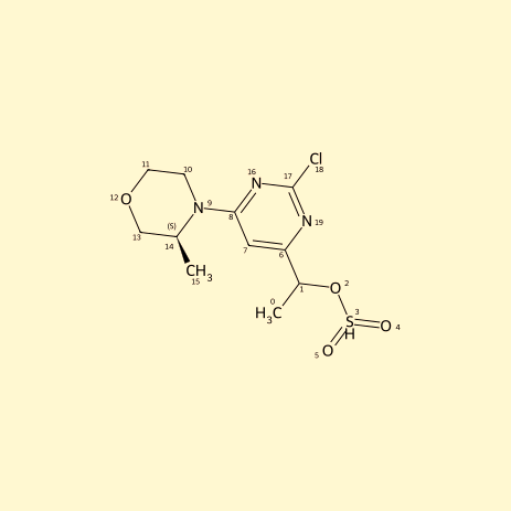 CC(O[SH](=O)=O)c1cc(N2CCOC[C@@H]2C)nc(Cl)n1